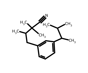 CC(C)C(C)c1cccc(CC(C)C(C)(C)C#N)c1